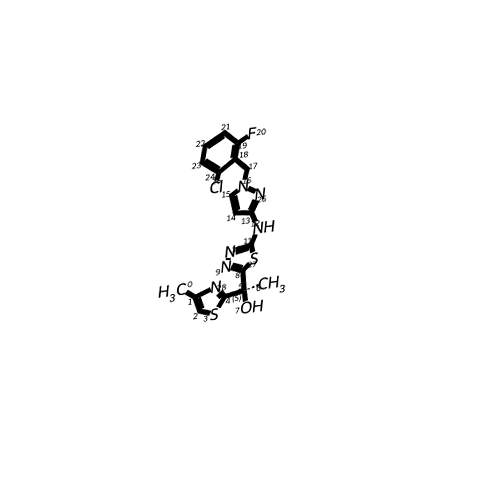 Cc1csc([C@](C)(O)c2nnc(Nc3ccn(Cc4c(F)cccc4Cl)n3)s2)n1